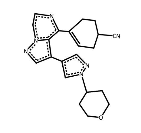 N#CC1CC=C(c2nccn3ncc(-c4cnn(C5CCOCC5)c4)c23)CC1